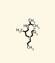 CCCN(CCC)CC(C)CNC(C)C